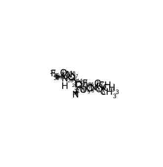 CC(C)(C)OC(=O)N1CC[C@H](Oc2ccc(-c3ccnc(NC(=O)[C@H]4C[C@H]4F)c3)cc2C#N)[C@H](F)C1